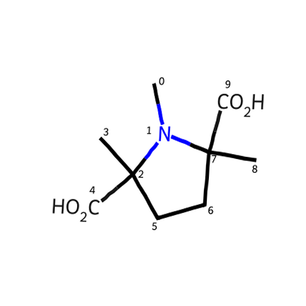 CN1C(C)(C(=O)O)CCC1(C)C(=O)O